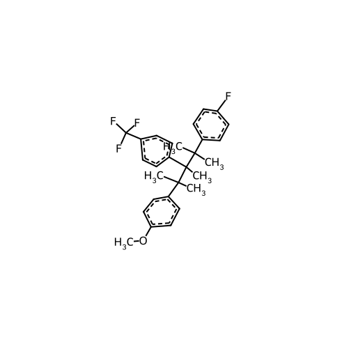 COc1ccc(C(C)(C)C(C)(c2ccc(C(F)(F)F)cc2)C(C)(C)c2ccc(F)cc2)cc1